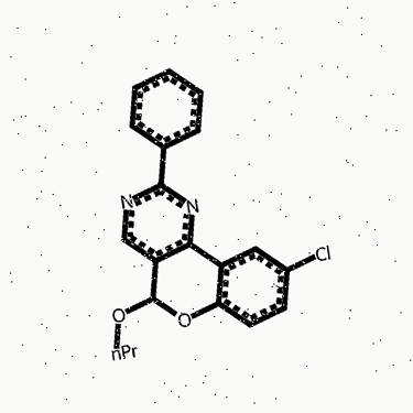 CCCOC1Oc2ccc(Cl)cc2-c2nc(-c3ccccc3)ncc21